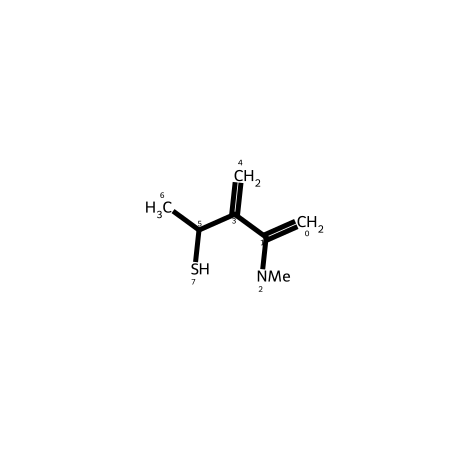 C=C(NC)C(=C)C(C)S